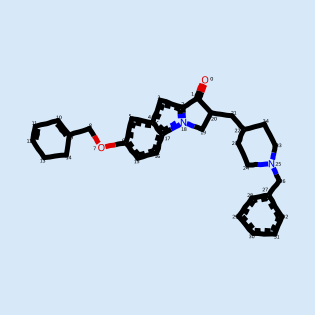 O=C1c2cc3cc(OCC4=CC=CCC4)ccc3n2CC1CC1CCN(Cc2ccccc2)CC1